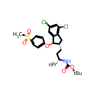 CCC[C@H](CC[C@H]1Cc2c(Cl)cc(Cl)cc2[C@@H]1Oc1ccc(S(C)(=O)=O)cc1)NC(=O)OC(C)(C)C